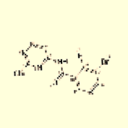 O=C(Nc1cnnc(Cl)n1)c1cccc(Br)c1F